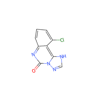 O=c1nc2cccc(Cl)c2c2[nH]cnn12